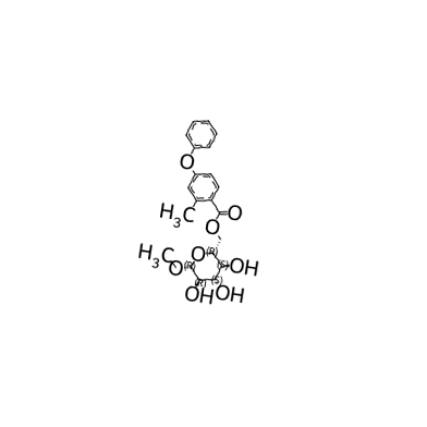 CO[C@@H]1O[C@H](COC(=O)c2ccc(Oc3ccccc3)cc2C)[C@@H](O)[C@H](O)[C@H]1O